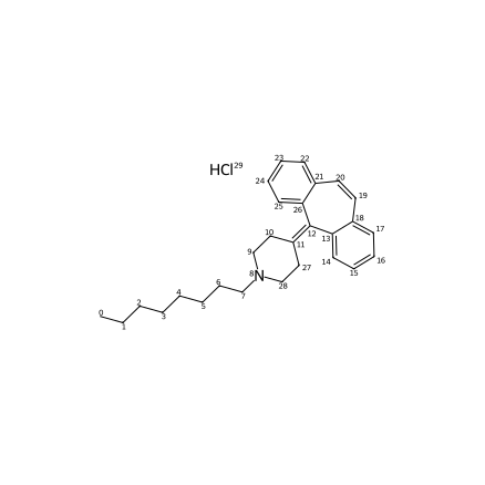 CCCCCCCCN1CCC(=C2c3ccccc3C=Cc3ccccc32)CC1.Cl